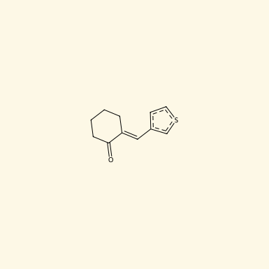 O=C1CCCC/C1=C\c1ccsc1